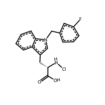 O=C(O)[C@H](Cc1cn(Cc2cccc(F)c2)c2ccccc12)NCl